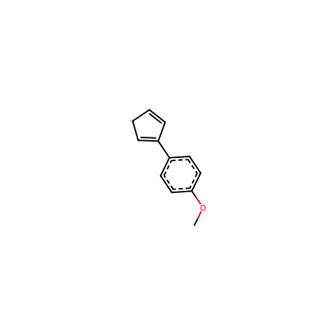 COc1ccc(C2=C[CH]C=C2)cc1